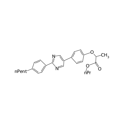 CCCCCc1ccc(-c2ncc(-c3ccc(OC(C)C(=O)OCCC)cc3)cn2)cc1